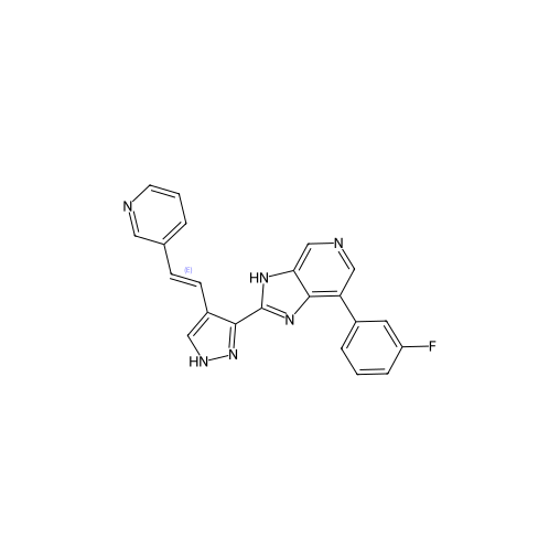 Fc1cccc(-c2cncc3[nH]c(-c4n[nH]cc4/C=C/c4cccnc4)nc23)c1